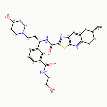 CC(C)(C)[C@H]1CCc2nc3sc(C(=O)N[C@H](CCN4CCC(O)CC4)c4cccc(C(=O)NCCO)c4)nc3cc2C1